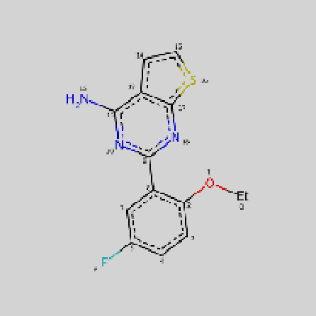 CCOc1ccc(F)cc1-c1nc(N)c2ccsc2n1